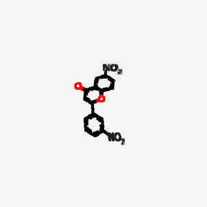 O=c1cc(-c2cccc([N+](=O)[O-])c2)oc2ccc([N+](=O)[O-])cc12